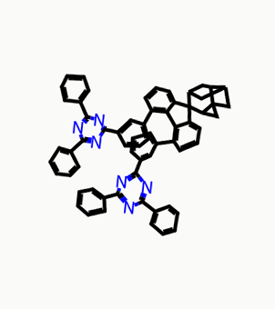 c1ccc(-c2nc(-c3ccccc3)nc(-c3cccc(-c4cccc5c4-c4c(-c6cccc(-c7nc(-c8ccccc8)nc(-c8ccccc8)n7)c6)cccc4C54C5CC6CC7(CC74)C6C5)c3)n2)cc1